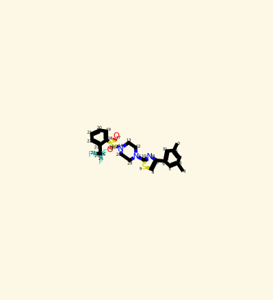 Cc1cc(C)cc(-c2csc(N3CCN(S(=O)(=O)c4ccccc4C(F)(F)F)CC3)n2)c1